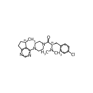 C[C@@H]1CCc2ncnc(N3CCN(C(=O)[C@@H](Cc4ccc(Cl)cc4)N(C)C)CC3)c21